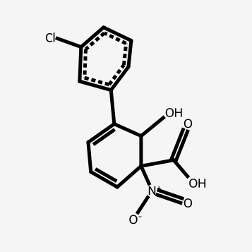 O=C(O)C1([N+](=O)[O-])C=CC=C(c2cccc(Cl)c2)C1O